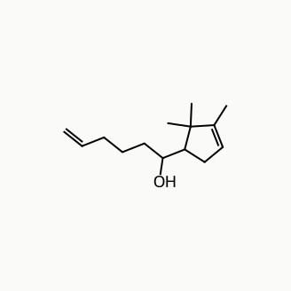 C=CCCCC(O)C1CC=C(C)C1(C)C